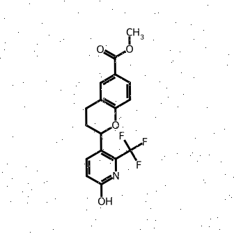 COC(=O)c1ccc2c(c1)CCC(c1ccc(O)nc1C(F)(F)F)O2